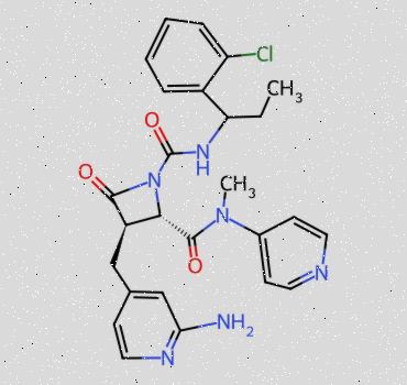 CCC(NC(=O)N1C(=O)[C@H](Cc2ccnc(N)c2)[C@H]1C(=O)N(C)c1ccncc1)c1ccccc1Cl